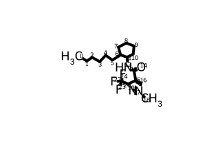 CCCCCCC1CCCCC1NC(=O)c1cn(C)nc1C(F)(F)F